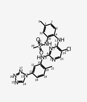 Cc1ccc(Nc2nc(Nc3cc(-n4cnnn4)ccc3C)ncc2Cl)c(NS(C)(=O)=O)c1